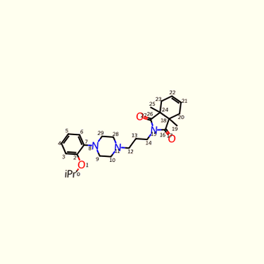 CC(C)Oc1ccccc1N1CCN(CCCN2C(=O)C3(C)CC=CCC3(C)C2=O)CC1